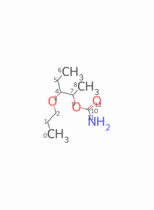 CCCOC(CC)C(C)OC(N)=O